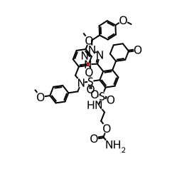 COc1ccc(CN(Cc2ccc(OC)cc2)S(=O)(=O)c2c(S(=O)(=O)NCCOC(N)=O)ccc(C3=CC(=O)CCC3)c2-c2nnn(Cc3ccc(OC)cc3)n2)cc1